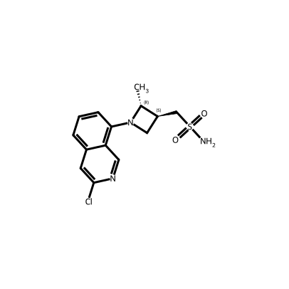 C[C@@H]1[C@@H](CS(N)(=O)=O)CN1c1cccc2cc(Cl)ncc12